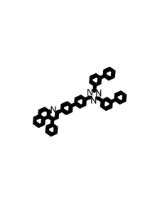 c1ccc(-c2cccc(-c3nc(-c4ccc(-c5ccc(-c6cc(-c7ccccc7)c7c(ccc8ccccc87)n6)cc5)cc4)nc(-c4cccc(-c5ccccc5)c4)n3)c2)cc1